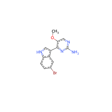 COc1cnc(N)nc1-c1c[nH]c2ccc(Br)cc12